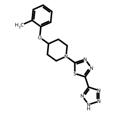 Cc1ccccc1OC1CCN(c2nnc(-c3nn[nH]n3)s2)CC1